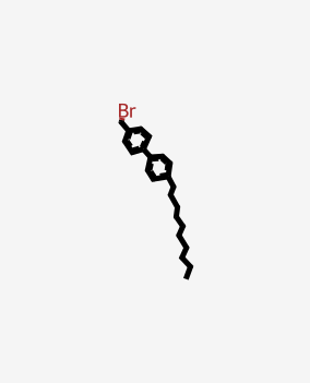 CCCCCCCCCCc1ccc(-c2ccc(CBr)cc2)cc1